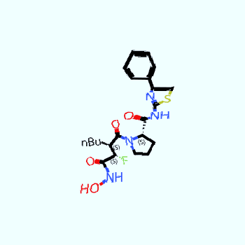 CCCC[C@@H](C(=O)N1CCC[C@H]1C(=O)Nc1nc(-c2ccccc2)cs1)[C@H](F)C(=O)NO